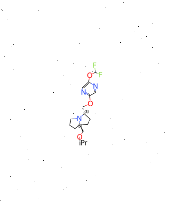 CC(C)OC[C@@]12CCCN1[C@H](COc1cnc(OC(F)F)cn1)CC2